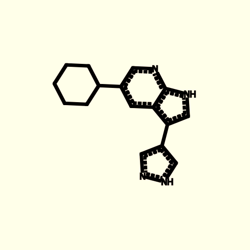 c1n[nH]cc1-c1c[nH]c2ncc(C3CCCCC3)cc12